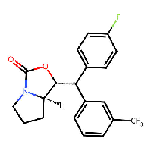 O=C1O[C@H](C(c2ccc(F)cc2)c2cccc(C(F)(F)F)c2)[C@H]2CCCN12